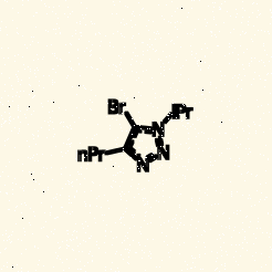 CCCc1nnn(C(C)C)c1Br